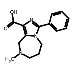 CN1CCCn2c(-c3ccccc3)nc(C(=O)O)c2C1